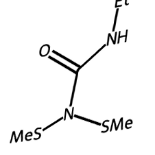 CCNC(=O)N(SC)SC